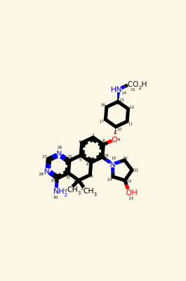 CC1(C)Cc2c(ccc(O[C@H]3CC[C@H](NC(=O)O)CC3)c2N2CCC(O)C2)-c2ncnc(N)c21